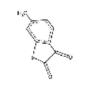 Cc1ccc2c(c1)SC(=O)C2=O